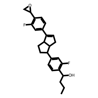 CCCC(O)c1ccc(C2CCC3C(c4ccc(C5CO5)c(F)c4)=CCC32)cc1F